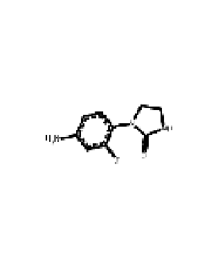 Nc1ccc(N2CCNC2=O)c(F)c1